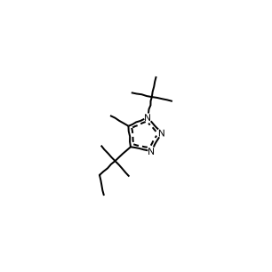 CCC(C)(C)c1nnn(C(C)(C)C)c1C